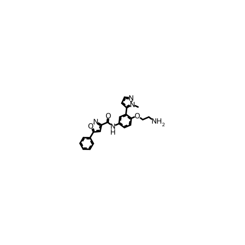 Cn1nccc1-c1cc(NC(=O)c2cc(-c3ccccc3)on2)ccc1OCCN